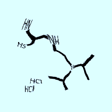 CC(C)N(CCNC(=N)S)C(C)C.Cl.Cl